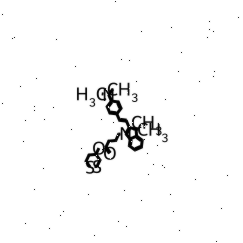 CN(C)c1ccc(/C=C/C2=[N+](CCCC(=O)OC3CCSSC3)c3ccccc3C2(C)C)cc1